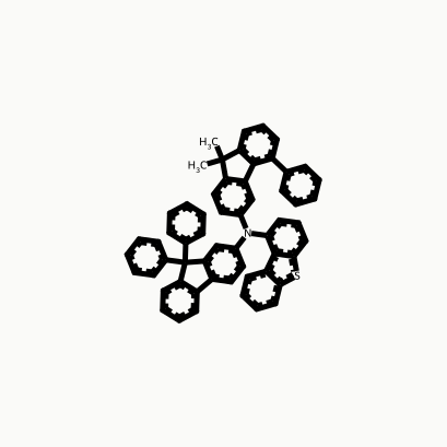 CC1(C)c2ccc(N(c3ccc4c(c3)C(c3ccccc3)(c3ccccc3)c3ccccc3-4)c3cccc4sc5ccccc5c34)cc2-c2c(-c3ccccc3)cccc21